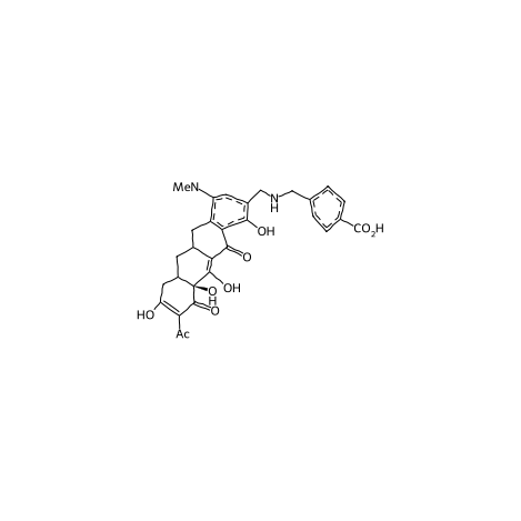 CNc1cc(CNCc2ccc(C(=O)O)cc2)c(O)c2c1CC1CC3CC(O)=C(C(C)=O)C(=O)[C@@]3(O)C(O)=C1C2=O